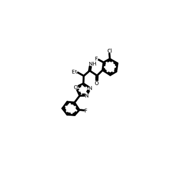 CCC(C(=N)C(=O)c1cccc(Cl)c1F)c1nnc(-c2ccccc2F)o1